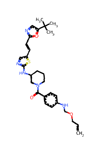 C=CCOCNc1ccc(C(=O)N2CCCC(Nc3ncc(/C=C/c4ncc(C(C)(C)C)o4)s3)C2)cc1